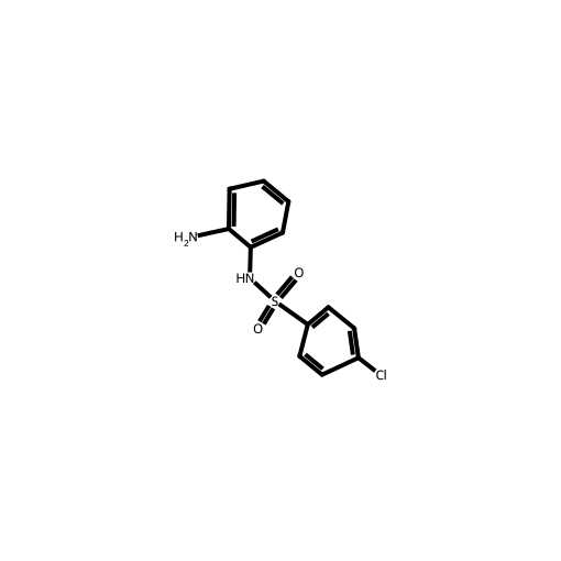 Nc1ccccc1NS(=O)(=O)c1ccc(Cl)cc1